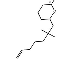 C=CCCCC(C)(C)CC1CCC[C@@H](C)O1